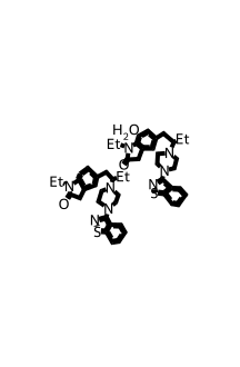 CCC(Cc1ccc2c(c1)CC(=O)N2CC)N1CCN(c2nsc3ccccc23)CC1.CCC(Cc1ccc2c(c1)CC(=O)N2CC)N1CCN(c2nsc3ccccc23)CC1.O